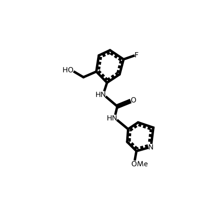 COc1cc(NC(=O)Nc2cc(F)ccc2CO)ccn1